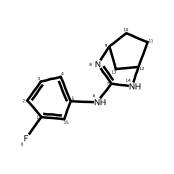 Fc1cccc(NC2=NC3CCC(C3)N2)c1